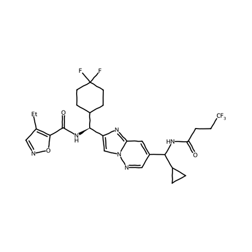 CCc1cnoc1C(=O)N[C@H](c1cn2ncc(C(NC(=O)CCC(F)(F)F)C3CC3)cc2n1)C1CCC(F)(F)CC1